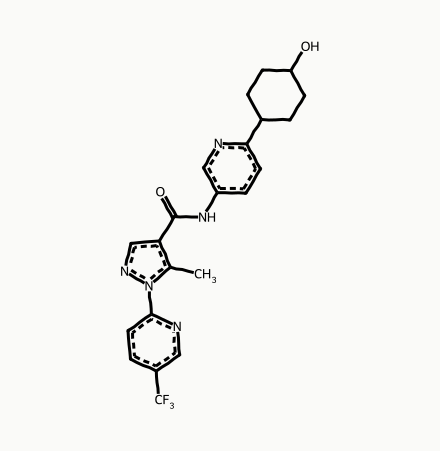 Cc1c(C(=O)Nc2ccc(C3CCC(O)CC3)nc2)cnn1-c1ccc(C(F)(F)F)cn1